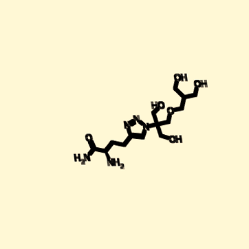 NC(=O)[C@H](N)CCc1cn(C(CO)(CO)COCC(CO)CO)nn1